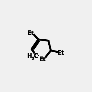 [CH2]C=C(CC)CC(CC)CC